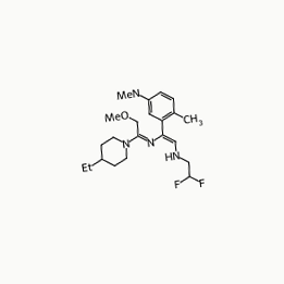 CCC1CCN(/C(COC)=N/C(=C\NCC(F)F)c2cc(NC)ccc2C)CC1